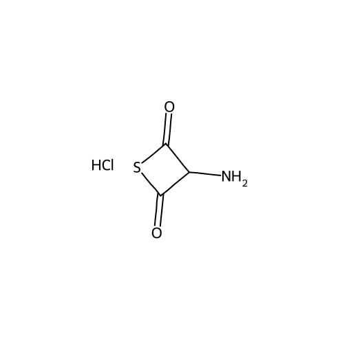 Cl.NC1C(=O)SC1=O